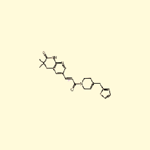 CC1(C)Cc2cc(/C=C/C(=O)N3CC=C(Cc4cccs4)CC3)cnc2NC1=O